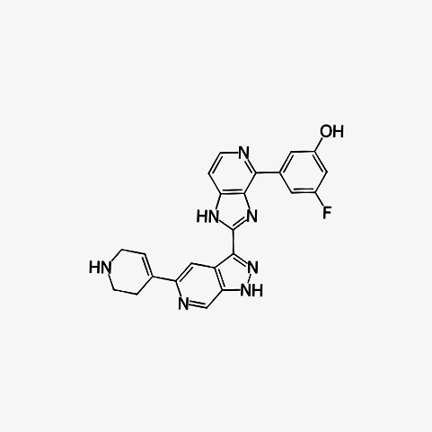 Oc1cc(F)cc(-c2nccc3[nH]c(-c4n[nH]c5cnc(C6=CCNCC6)cc45)nc23)c1